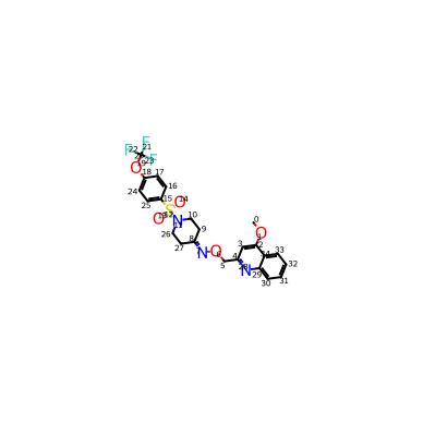 COc1cc(CON=C2CCN(S(=O)(=O)c3ccc(OC(F)(F)F)cc3)CC2)nc2ccccc12